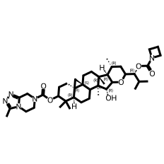 Cc1nnc2n1CCN(C(=O)OC1CC[C@]34C[C@]35CC[C@]3(C)[C@@H]6C(OC([C@H](OC(=O)N7CCC7)C(C)C)C[C@H]6C)[C@H](O)[C@@]3(C)C5CC[C@H]4C1(C)C)C2